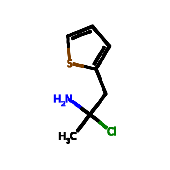 CC(N)(Cl)Cc1cccs1